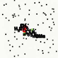 C=C(C)C(=O)OC1CCC(C2CCC(OC)CC2F)CC1F